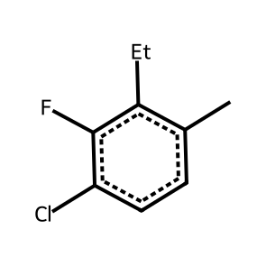 CCc1c(C)ccc(Cl)c1F